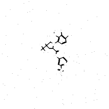 CNS(=O)(=O)c1cc(NC(=O)C2CC(OC)(C(F)(F)F)CN2c2ccc(F)c(F)c2OC)ccn1